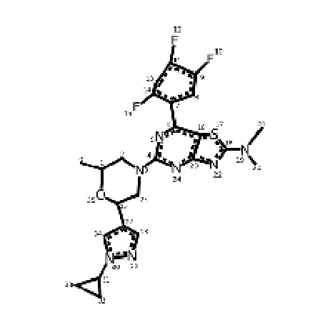 CC1CN(c2nc(-c3cc(F)c(F)cc3F)c3sc(N(C)C)nc3n2)CC(c2cnn(C3CC3)c2)O1